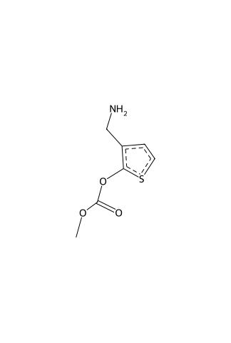 COC(=O)Oc1sccc1CN